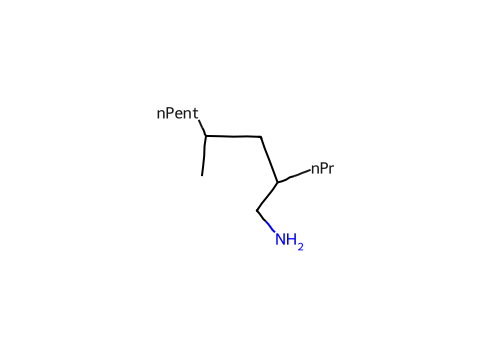 CCCCCC(C)CC(CN)CCC